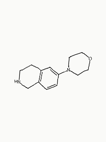 c1cc2c(cc1N1CCOCC1)CCNC2